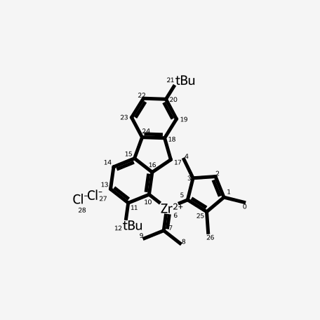 CC1=CC(C)[C]([Zr+2](=[C](C)C)[c]2c(C(C)(C)C)ccc3c2Cc2cc(C(C)(C)C)ccc2-3)=C1C.[Cl-].[Cl-]